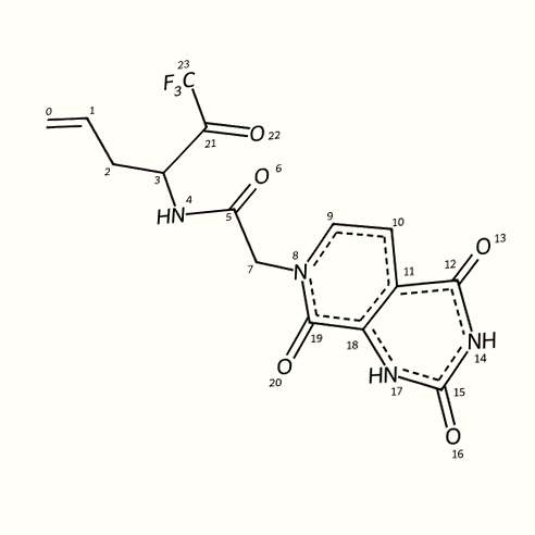 C=CCC(NC(=O)Cn1ccc2c(=O)[nH]c(=O)[nH]c2c1=O)C(=O)C(F)(F)F